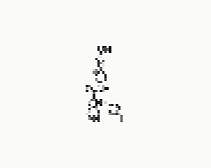 O=C(Nc1ccc(N2CC(O)C2)nc1)c1cc2ccncc2n1Cc1ccc(F)cc1